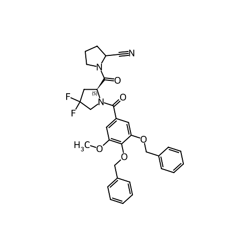 COc1cc(C(=O)N2CC(F)(F)C[C@H]2C(=O)N2CCCC2C#N)cc(OCc2ccccc2)c1OCc1ccccc1